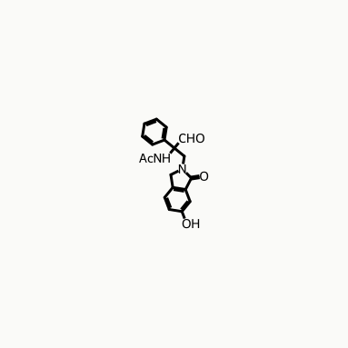 CC(=O)NC(C=O)(CN1Cc2ccc(O)cc2C1=O)c1ccccc1